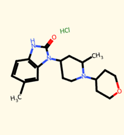 Cc1ccc2[nH]c(=O)n(C3CCN(C4CCOCC4)C(C)C3)c2c1.Cl